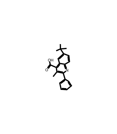 Cc1c(-c2ccccc2)nc2ccc(C(C)(C)C)cc2c1C(=O)O